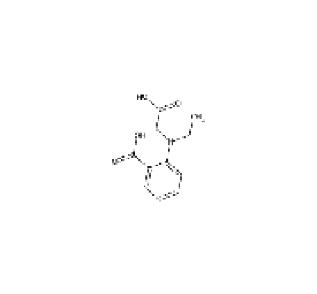 CCN(CC(=O)O)c1ccccc1C(=O)O